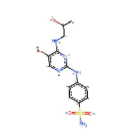 CC(O)CNc1nc(Nc2ccc(S(N)(=O)=O)cc2)ncc1Br